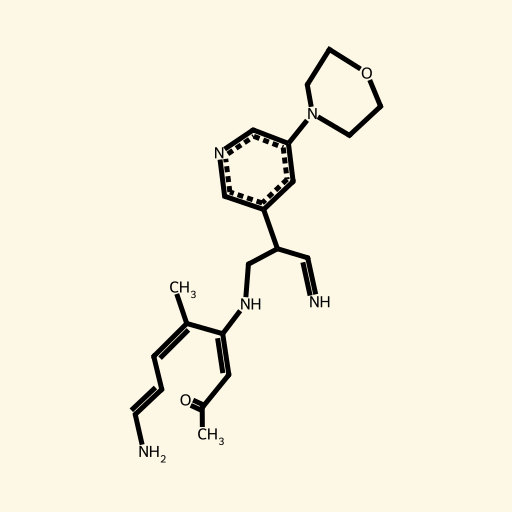 CC(=O)\C=C(NCC(C=N)c1cncc(N2CCOCC2)c1)/C(C)=C\C=C\N